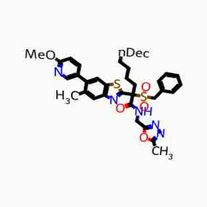 CCCCCCCCCCCCCCC(C(=O)NCc1nnc(C)o1)(c1nc2cc(C)c(-c3ccc(OC)nc3)cc2s1)S(=O)(=O)Cc1ccccc1